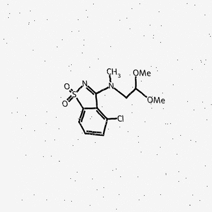 COC(CN(C)C1=NS(=O)(=O)c2cccc(Cl)c21)OC